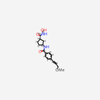 COCC#Cc1ccc(C(=O)N[C@H]2CC[C@@H](C(=O)NO)C2)cc1